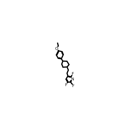 CCOc1ccc(C2CCC(CCc3cc(F)c(F)nc3F)CC2)cc1